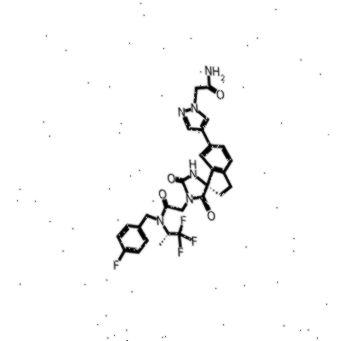 C[C@H](N(Cc1ccc(F)cc1)C(=O)CN1C(=O)N[C@]2(CCc3ccc(-c4cnn(CC(N)=O)c4)cc32)C1=O)C(F)(F)F